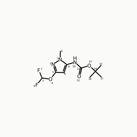 Cn1nc(OC(F)F)cc1NC(=O)OC(C)(C)C